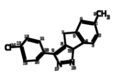 Cc1ccc2c(c1)CC1=C(c3ccc(Cl)cc3)N=NC12